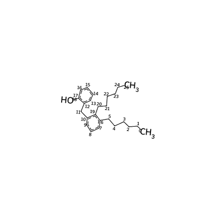 CCCCCCc1cccc(Cc2ccccc2O)c1CCCCCC